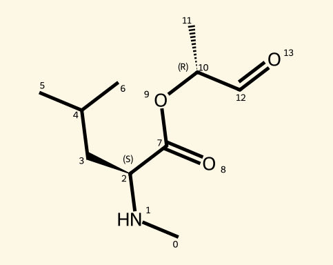 CN[C@@H](CC(C)C)C(=O)O[C@H](C)C=O